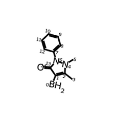 Bc1c(C)n(C)n(-c2ccccc2)c1=O